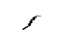 C=CCCCCCCOc1ccc(-c2ccc(C(=O)Oc3ccc(O[C@@H](C)CCCCCC)cc3)cc2)cc1